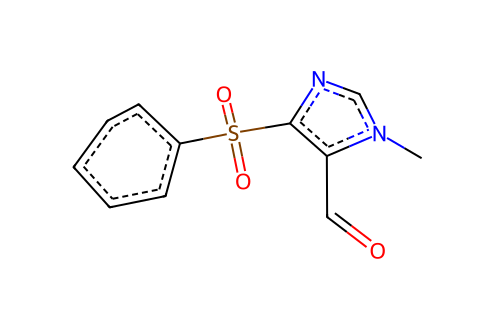 Cn1cnc(S(=O)(=O)c2ccccc2)c1C=O